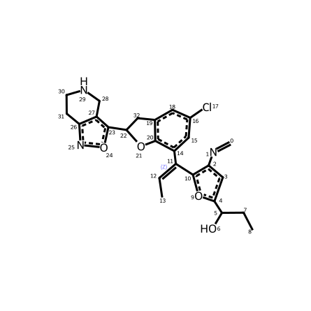 C=Nc1cc(C(O)CC)oc1/C(=C\C)c1cc(Cl)cc2c1OC(c1onc3c1CNCC3)C2